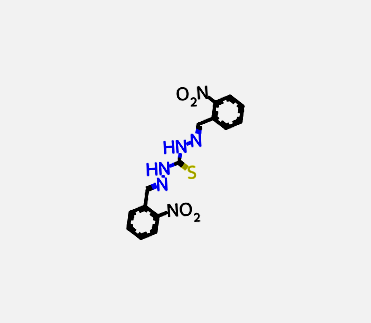 O=[N+]([O-])c1ccccc1C=NNC(=S)NN=Cc1ccccc1[N+](=O)[O-]